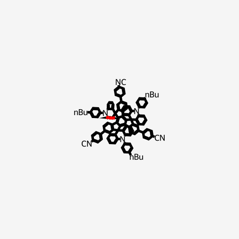 [C-]#[N+]c1ccc(-c2ccc3c(c2)C2(c4ccccc4N(c4ccc(CCCC)cc4)c4ccccc42)c2c-3c3c(c4c2-c2ccc(-c5ccc([N+]#[C-])cc5)cc2C42c4ccccc4N(c4ccc(CCCC)cc4)c4ccccc42)-c2ccc(-c4ccc(C#N)cc4)cc2C32c3ccccc3N(c3ccc(CCCC)cc3)c3ccccc32)cc1